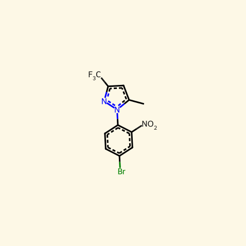 Cc1cc(C(F)(F)F)nn1-c1ccc(Br)cc1[N+](=O)[O-]